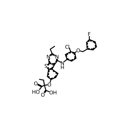 CCc1nc(Nc2ccc(OCc3cccc(F)c3)c(Cl)c2)c2c(n1)sc1cc(OC(CC)(C(=O)O)C(=O)O)ccc12